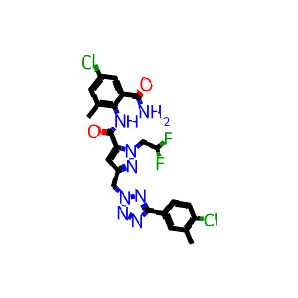 Cc1cc(-c2nnn(Cc3cc(C(=O)Nc4c(C)cc(Cl)cc4C(N)=O)n(CC(F)F)n3)n2)ccc1Cl